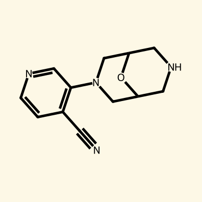 N#Cc1ccncc1N1CC2CNCC(C1)O2